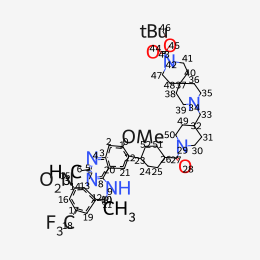 COc1cc2nc(C)nc(N[C@H](C)c3cc([N+](=O)[O-])cc(C(F)(F)F)c3)c2cc1C1CCC(C(=O)N2CCC(CN3CCC4(CC3)CCN(C(=O)OC(C)(C)C)CC4)CC2)CC1